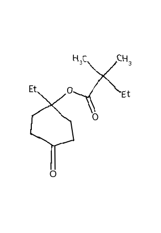 CCC1(OC(=O)C(C)(C)CC)CCC(=O)CC1